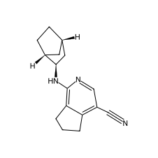 N#Cc1cnc(N[C@@H]2C[C@H]3CC[C@@H]2C3)c2c1CCC2